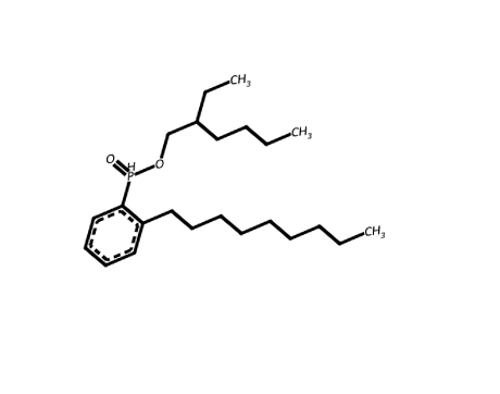 CCCCCCCCCc1ccccc1[PH](=O)OCC(CC)CCCC